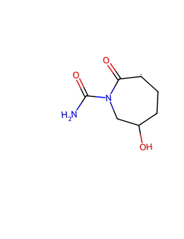 NC(=O)N1CC(O)CC[CH]C1=O